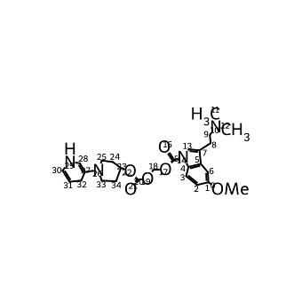 COc1ccc2c(c1)c(CCN(C)C)cn2C(=O)OCOC(=O)OC1CCN(C2=CNC=CC2)CC1